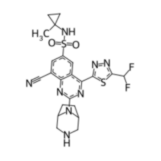 CC1(NS(=O)(=O)c2cc(C#N)c3nc(N4C5CCC4CNC5)nc(-c4nnc(C(F)F)s4)c3c2)CC1